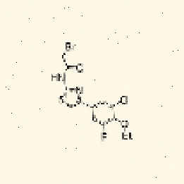 CCOc1c(F)cc(-c2csc(NC(=O)CBr)n2)cc1Cl